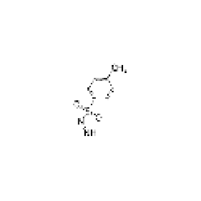 Cc1ccc(S(=O)(=O)N=N)cc1